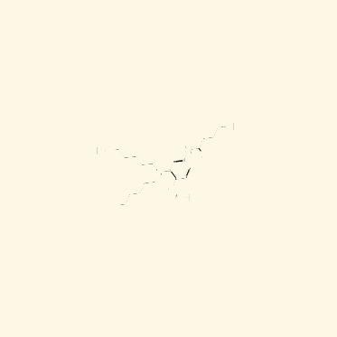 CCCCCCN(CCCCCC)c1cc(NC(=O)CCCC)ccc1OC